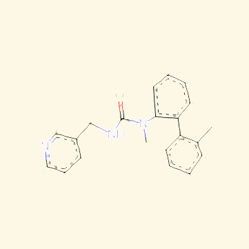 Cc1ccccc1-c1ccccc1N(C)C(=O)NCc1cccnc1